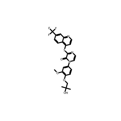 COc1cc(-n2ccnc(Sc3ccnc4cc(C(F)(F)F)ccc34)c2=O)ccc1OCC(C)(C)O